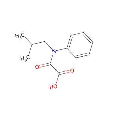 CC(C)CN(C(=O)C(=O)O)c1ccccc1